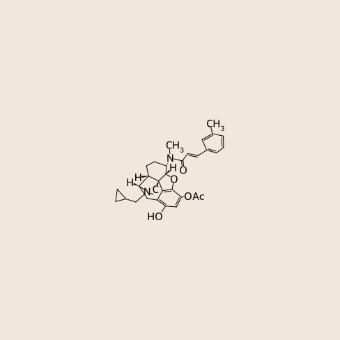 CC(=O)Oc1cc(O)c2c3c1O[C@H]1[C@@H](N(C)C(=O)C=Cc4cccc(C)c4)CC[C@H]4[C@@H](C2)N(CC2CC2)CC[C@@]341